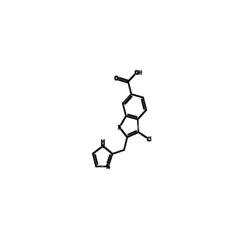 O=C(O)c1ccc2c(Cl)c(Cc3ncc[nH]3)sc2c1